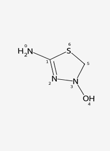 NC1=NN(O)CS1